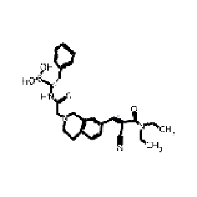 CCN(CC)C(=O)/C(C#N)=C/c1ccc2c(c1)CN(CC(=O)N[C@@H](Cc1ccccc1)B(O)O)CC2